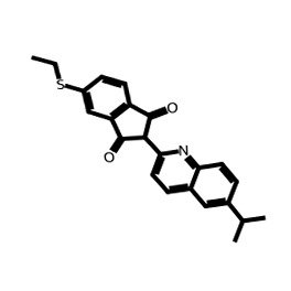 CCSc1ccc2c(c1)C(=O)C(c1ccc3cc(C(C)C)ccc3n1)C2=O